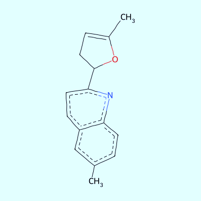 CC1=CCC(c2ccc3cc(C)ccc3n2)O1